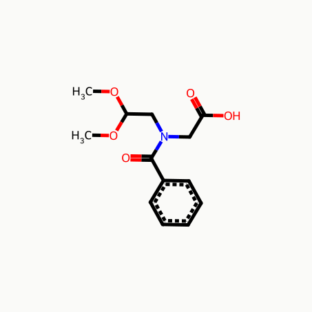 COC(CN(CC(=O)O)C(=O)c1ccccc1)OC